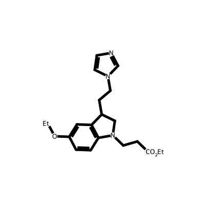 CCOC(=O)CCN1CC(CCn2ccnc2)c2cc(OCC)ccc21